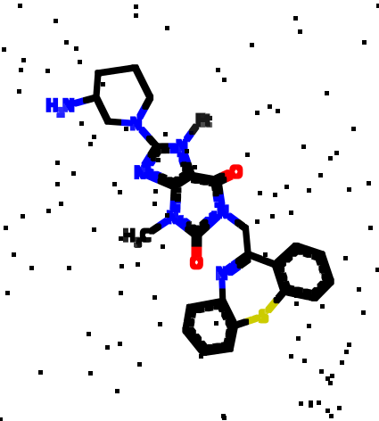 CCn1c(N2CCCC(N)C2)nc2c1c(=O)n(CC1=Nc3ccccc3Sc3ccccc31)c(=O)n2C